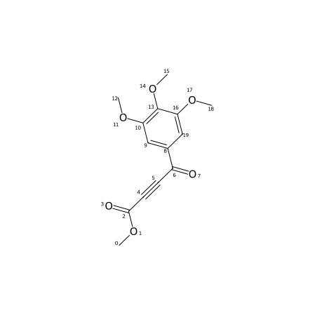 COC(=O)C#CC(=O)c1cc(OC)c(OC)c(OC)c1